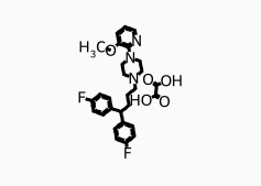 COc1cccnc1N1CCN(CCCC(c2ccc(F)cc2)c2ccc(F)cc2)CC1.O=C(O)C(=O)O